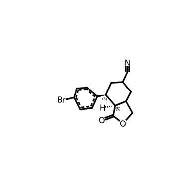 N#CC1CC2COC(=O)[C@H]2[C@@H](c2ccc(Br)cc2)C1